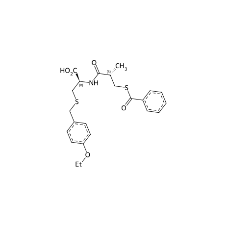 CCOc1ccc(CSC[C@H](NC(=O)[C@H](C)CSC(=O)c2ccccc2)C(=O)O)cc1